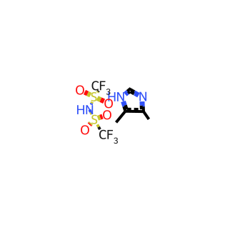 Cc1nc[nH]c1C.O=S(=O)(NS(=O)(=O)C(F)(F)F)C(F)(F)F